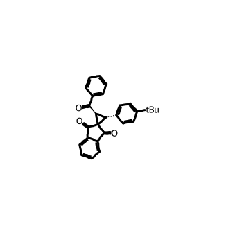 CC(C)(C)c1ccc([C@H]2[C@H](C(=O)c3ccccc3)C23C(=O)c2ccccc2C3=O)cc1